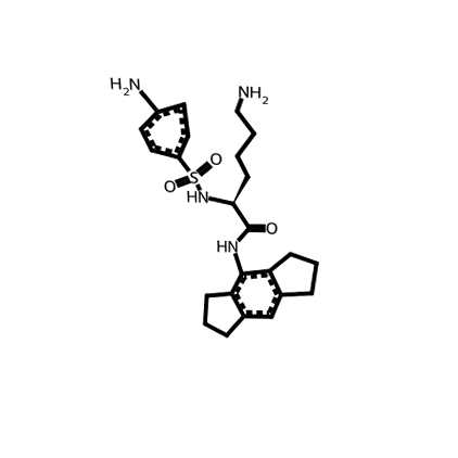 NCCCC[C@H](NS(=O)(=O)c1ccc(N)cc1)C(=O)Nc1c2c(cc3c1CCC3)CCC2